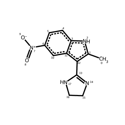 Cc1[nH]c2ccc([N+](=O)[O-])cc2c1C1=NCCN1